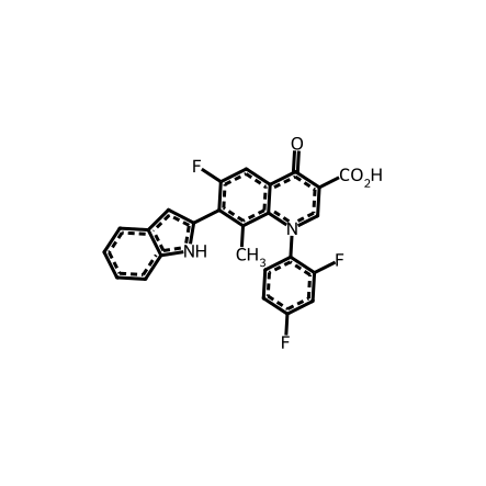 Cc1c(-c2cc3ccccc3[nH]2)c(F)cc2c(=O)c(C(=O)O)cn(-c3ccc(F)cc3F)c12